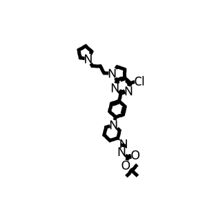 CC(C)(C)OC(=O)N=N[C@@H]1CCCN(C2C=CC(c3nc(Cl)c4c(n3)N(CCCN3CCCC3)CC4)=CC2)C1